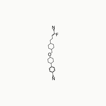 N#CC(F)=CCCC1CCC(COC2CCC(c3ccc(C#N)cc3)CC2)CC1